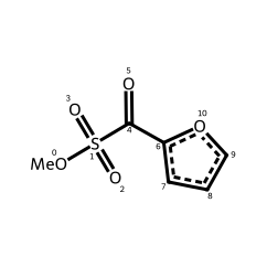 COS(=O)(=O)C(=O)c1ccco1